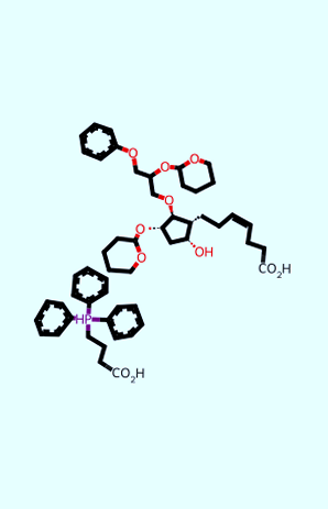 O=C(O)CC/C=C\CC[C@H]1[C@H](OCC(COc2ccccc2)OC2CCCCO2)[C@@H](OC2CCCCO2)C[C@H]1O.O=C(O)CCC[PH](c1ccccc1)(c1ccccc1)c1ccccc1